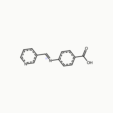 O=C(O)c1ccc(/N=C/c2cccnc2)cc1